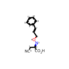 N#CCC(=NOCC=Cc1ccccc1)C(=O)O